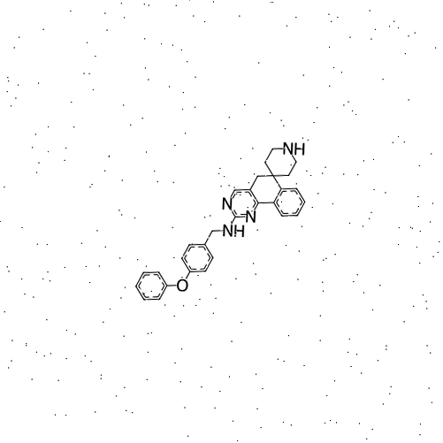 c1ccc(Oc2ccc(CNc3ncc4c(n3)-c3ccccc3C3(CCNCC3)C4)cc2)cc1